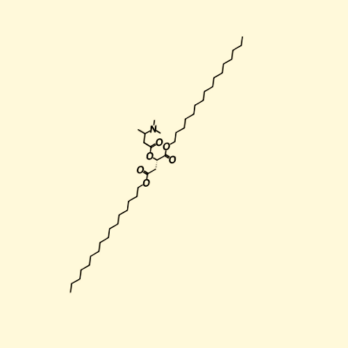 CCCCCCCCCCCCCCCCOC(=O)C[C@H](OC(=O)CC(C)N(C)C)C(=O)OCCCCCCCCCCCCCCCC